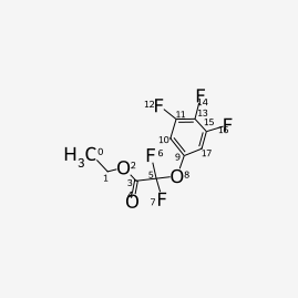 CCOC(=O)C(F)(F)Oc1cc(F)c(F)c(F)c1